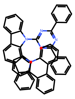 c1ccc(-c2nc(-c3ccccc3)nc(-n3c4ccccc4c4ccc5c6ccccc6n(-c6ccccc6-c6ccccc6-c6ccccc6)c5c43)n2)cc1